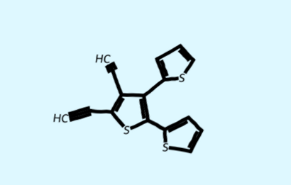 C#Cc1sc(-c2cccs2)c(-c2cccs2)c1C#C